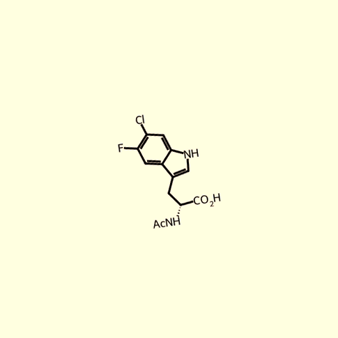 CC(=O)N[C@H](Cc1c[nH]c2cc(Cl)c(F)cc12)C(=O)O